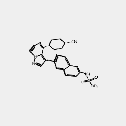 CCCS(=O)(=O)Nc1ccc2cc(-c3cnn4ccnc([C@H]5CC[C@@H](C#N)CC5)c34)ccc2c1